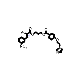 CC(=O)/C(=C\c1cccc([N+](=O)[O-])c1)C(=O)OCCCOC(=O)c1ccc(OCCn2ccnc2)cc1